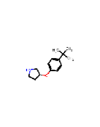 CC(C)(C)c1ccc(O[C@H]2CCNC2)cc1